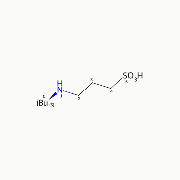 CC[C@H](C)NCCCS(=O)(=O)O